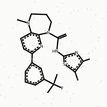 C=C(Nc1nc(C)c(C)s1)N1CCCN(C)c2ccc(-c3cccc(C(C)(C)F)c3)nc21